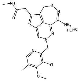 CNC(=O)Cc1cc2nn(Cc3ncc(C)c(OC)c3Cl)nc3c-2c1CSN=C3N.Cl.Cl